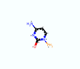 Nc1ccn(P)c(=O)n1